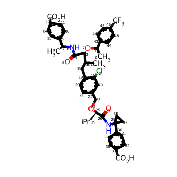 CC(O[C@@H](C(=O)N[C@@H](C)c1ccc(C(=O)O)cc1)C(C)Cc1ccc(CO[C@@H](C(=O)NC2(c3ccc(C(=O)O)cc3)CC2)C(C)C)cc1Cl)c1ccc(C(F)(F)F)cc1